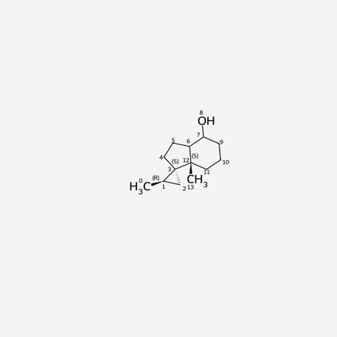 C[C@@H]1C[C@@]12CCC1C(O)CCC[C@@]12C